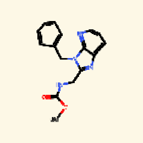 CC(C)(C)OC(=O)NCc1nc2cccnc2n1Cc1ccccc1